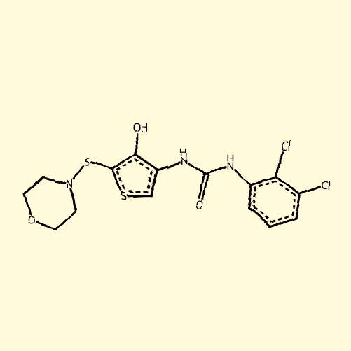 O=C(Nc1csc(SN2CCOCC2)c1O)Nc1cccc(Cl)c1Cl